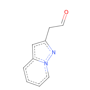 O=CCc1cc2ccccn2n1